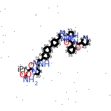 CC(C)[C@H](OC(N)=O)C(=O)N1CCC[C@H]1c1ncc(-c2ccc3cc(-c4ccc(-c5cnc([C@@H]6CCCN6C(=O)[C@H](NC(=O)c6cccnc6)c6ccccc6)[nH]5)cc4)ccc3c2)[nH]1